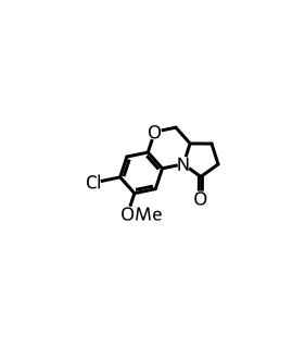 COc1cc2c(cc1Cl)OCC1CCC(=O)N21